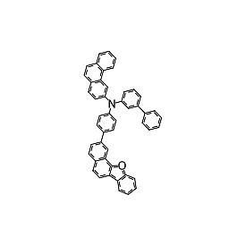 c1ccc(-c2cccc(N(c3ccc(-c4ccc5ccc6c7ccccc7oc6c5c4)cc3)c3ccc4ccc5ccccc5c4c3)c2)cc1